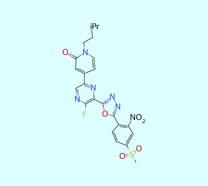 CC(C)CCn1ccc(-c2cnc(F)c(-c3nnc(-c4ccc(S(C)(=O)=O)cc4[N+](=O)[O-])o3)n2)cc1=O